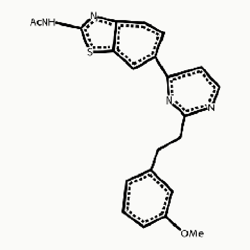 COc1cccc(CCc2nccc(-c3ccc4nc(NC(C)=O)sc4c3)n2)c1